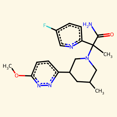 COc1ccc(C2CC(C)CN(C(C)(C(N)=O)c3ccc(F)cn3)C2)nn1